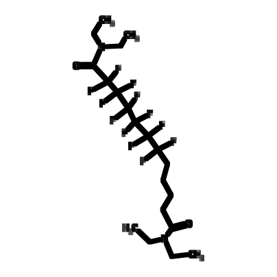 CCN(CC)C(=O)CCCCC(F)(F)C(F)(F)C(F)(F)C(F)(F)C(F)(F)C(F)(F)C(=O)N(CC)CC